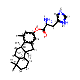 Cc1cc(OC(=O)C(N)Cc2cnc[nH]2)cc2c1[C@]1(C)CCC3C(C)(C)CCC[C@]3(C)[C@H]1C2